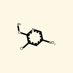 CC(C)Oc1ncc([N+](=O)[O-])cc1Cl